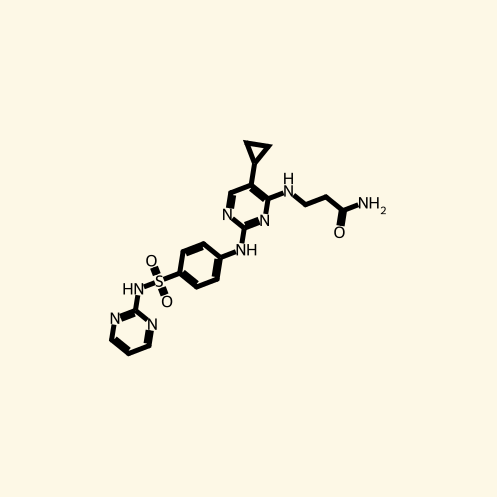 NC(=O)CCNc1nc(Nc2ccc(S(=O)(=O)Nc3ncccn3)cc2)ncc1C1CC1